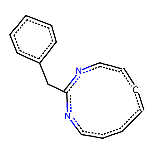 c1cccnc(Cc2ccccc2)nccc1